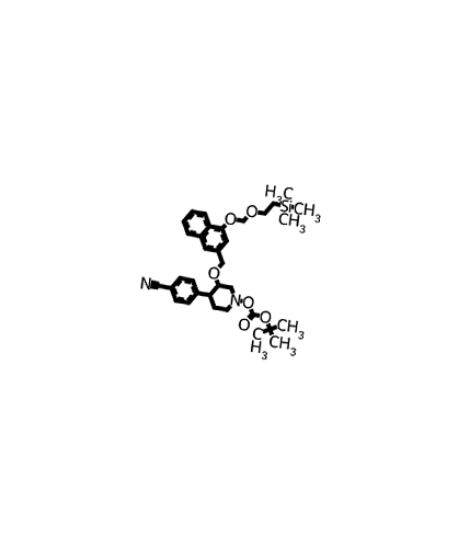 CC(C)(C)OC(=O)ON1CCC(c2ccc(C#N)cc2)C(OCc2cc(OCOCC[Si](C)(C)C)c3ccccc3c2)C1